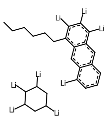 [Li][CH]1C[CH]([Li])[CH]([Li])[CH]([Li])C1.[Li][c]1[c]([Li])c(CCCCCC)c2cc3[c]([Li])cccc3cc2[c]1[Li]